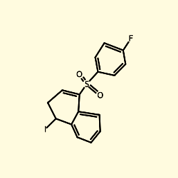 O=S(=O)(C1=CCC(I)c2ccccc21)c1ccc(F)cc1